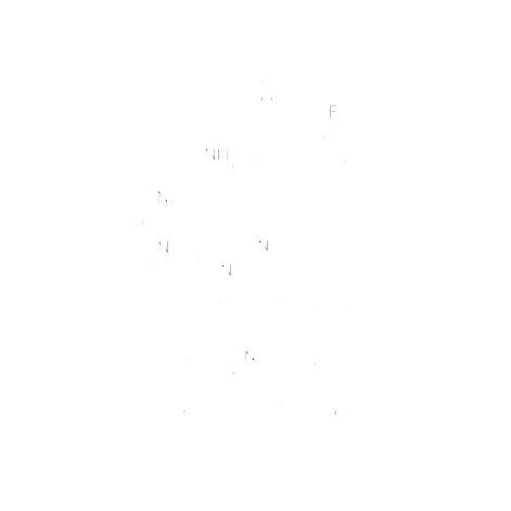 Cc1cccc2cc(Cn3nc(-c4ccc(F)c(O)c4)c4c(N)ncnc43)n(C3CCCC3)c(=O)c12